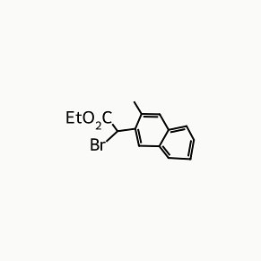 CCOC(=O)C(Br)c1cc2ccccc2cc1C